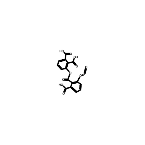 O=POc1cccc(C(=O)O)c1C(=O)Oc1cccc(C(=O)O)c1C(=O)O